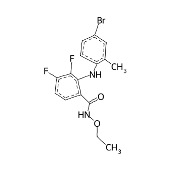 CCONC(=O)c1ccc(F)c(F)c1Nc1ccc(Br)cc1C